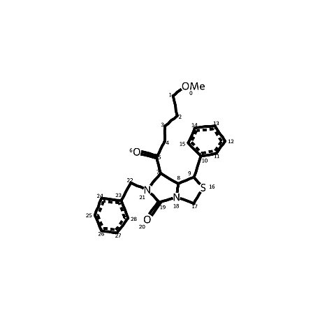 COCCCCC(=O)C1C2C(c3ccccc3)SCN2C(=O)N1Cc1ccccc1